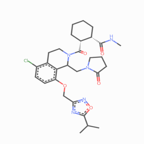 CNC(=O)[C@H]1CCCC[C@H]1C(=O)N1CCc2c(Cl)ccc(OCc3noc(C(C)C)n3)c2C1CN1CCCC1=O